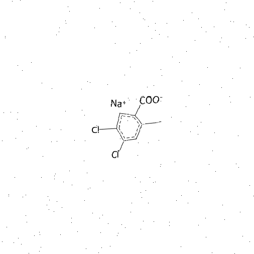 Cc1cc(Cl)c(Cl)cc1C(=O)[O-].[Na+]